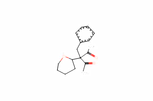 CNC(=O)C(Cc1ccccc1)(C(=O)NC)C1CCCCO1